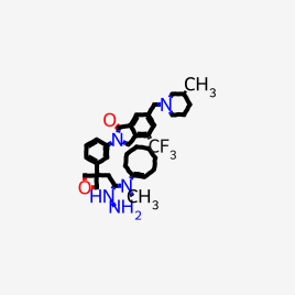 C[C@H]1CCCN(Cc2cc3c(c(C(F)(F)F)c2)CN(c2cccc(C4(CC(NN)N(C)/C5=C/CCCCCC5)COC4)c2)C3=O)C1